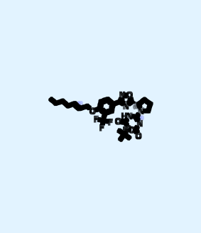 CCCC/C=C/COc1ccc(-c2noc([C@@H]3CCCN3/C(=N/C(=O)O)NC(=O)OC(C)(C)C)n2)cc1C(F)(F)F